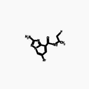 CC(CF)NC(=O)c1cc(Br)cn2nc(N)nc12